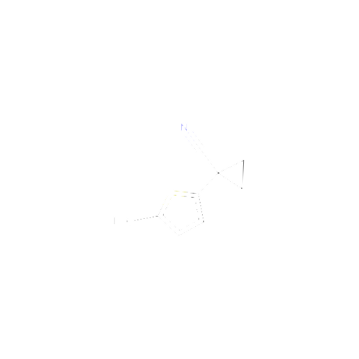 Cc1ccc(C2(C#N)CC2)s1